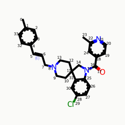 Cc1ccc(/C=C/CN2CCC3(CC2)CN(C(=O)c2ccnc(C)c2)c2ccc(Cl)cc23)cc1